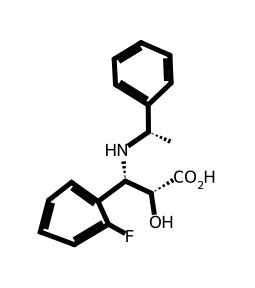 C[C@H](N[C@@H](c1ccccc1F)[C@@H](O)C(=O)O)c1ccccc1